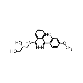 OC[C@H](O)CNc1nnc(-c2ccc(OC(F)(F)F)cc2O)c2ccccc12